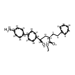 COC(=O)[C@H](CCc1ccccc1)CC(=O)c1ccc(-c2ccc(N)cc2)cc1